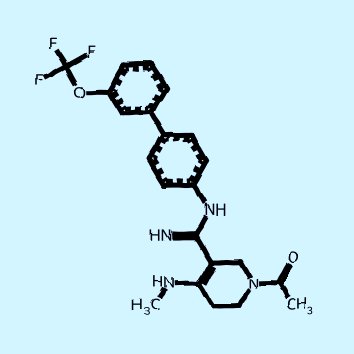 CNC1=C(C(=N)Nc2ccc(-c3cccc(OC(F)(F)F)c3)cc2)CN(C(C)=O)CC1